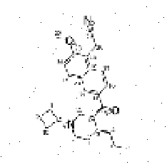 CCC[C@H]1CCN(C2CCC2)C[C@H]1C(=O)c1ccc2c(CC#N)c(OC)ccc2c1